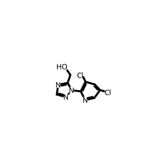 OCc1ncnn1-c1ncc(Cl)cc1Cl